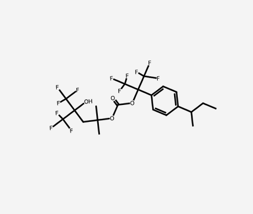 CCC(C)c1ccc(C(OC(=O)OC(C)(C)CC(O)(C(F)(F)F)C(F)(F)F)(C(F)(F)F)C(F)(F)F)cc1